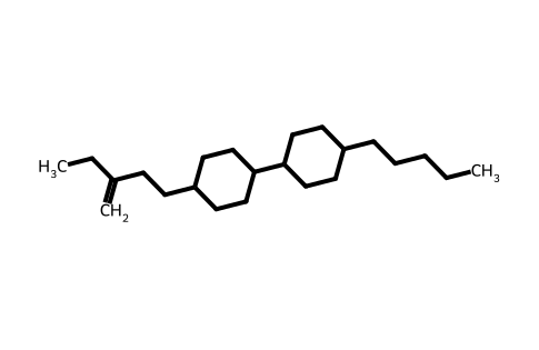 C=C(CC)CCC1CCC(C2CCC(CCCCC)CC2)CC1